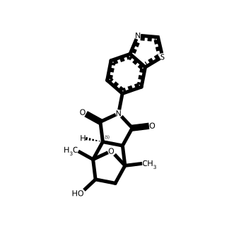 CC12CC(O)C(C)(O1)[C@H]1C(=O)N(c3ccc4ncsc4c3)C(=O)C12